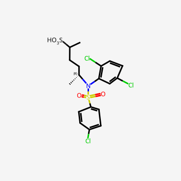 CC(CC[C@@H](C)N(c1cc(Cl)ccc1Cl)S(=O)(=O)c1ccc(Cl)cc1)S(=O)(=O)O